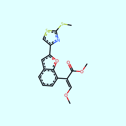 CO/C=C(/C(=O)OC)c1cccc2cc(-c3csc(SC)n3)oc12